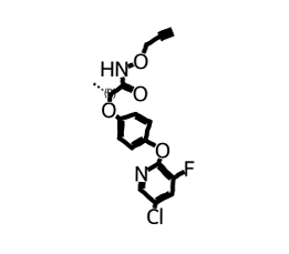 C#CCONC(=O)[C@@H](C)Oc1ccc(Oc2ncc(Cl)cc2F)cc1